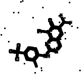 Cc1cc(S(=O)(=O)Cl)ccc1Nc1ncc2cc(C(F)F)c(=O)n(C(C)C)c2n1